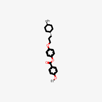 CCC[C@H]1CC[C@H](CCCOc2ccc(OC(=O)c3ccc(OCC)cc3)cc2)CC1